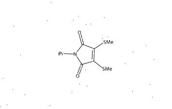 CSC1=C(SC)C(=O)N(C(C)C)C1=O